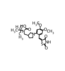 COc1cc(C=C2SC(=O)NC2=O)c(N2CCC(CN(C(=O)O)C(C)(C)C)C2)cc1OC